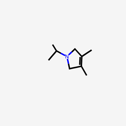 CC1=C(C)CN(C(C)C)C1